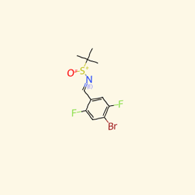 CC(C)(C)[S+]([O-])/N=C/c1cc(F)c(Br)cc1F